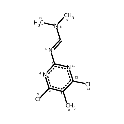 Cc1c(Cl)nc(N=CN(C)C)nc1Cl